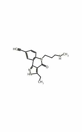 C#Cc1ccc2c(c1)c1n[nH]c(CC)c1c(=O)n2CCCNC